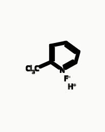 ClC(Cl)(Cl)c1ccccn1.[F-].[H+]